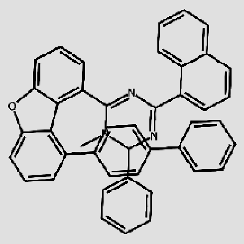 CN1C(c2cccc3oc4cccc(-c5ccc(-c6ccccc6)cc5)c4c23)=NC(c2cccc3ccccc23)=NC1c1ccccc1